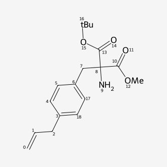 C=CCc1ccc(CC(N)(C(=O)OC)C(=O)OC(C)(C)C)cc1